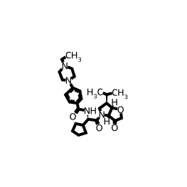 CCN1CCN(c2ccc(C(=O)N[C@H](C(=O)N3C[C@@H](C(C)C)[C@H]4OCC(=O)[C@H]43)C3CCCC3)cc2)CC1